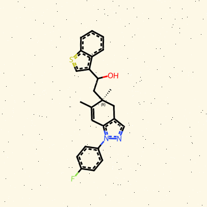 CC1=Cc2c(cnn2-c2ccc(F)cc2)C[C@]1(C)CC(O)c1csc2ccccc12